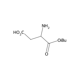 CC(C)COC(=O)C(N)CC(=O)O